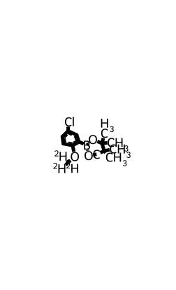 [2H]C([2H])([2H])Oc1ccc(Cl)cc1B1OCC(C)(C)C(C)(C)O1